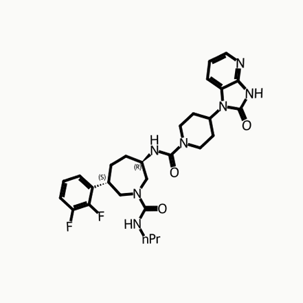 CCCNC(=O)N1C[C@H](NC(=O)N2CCC(n3c(=O)[nH]c4ncccc43)CC2)CC[C@@H](c2cccc(F)c2F)C1